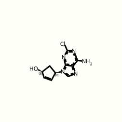 Nc1nc(Cl)nc2c1ncn2[C@H]1C=C[C@@H](O)C1